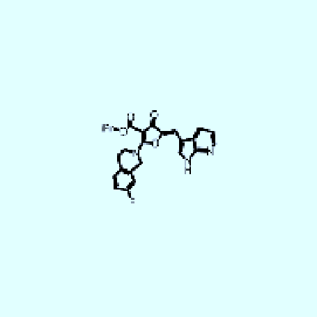 CC(C)OC(=O)C1=C(N2CCc3ccc(F)cc3C2)OC(=Cc2c[nH]c3ncccc23)C1=O